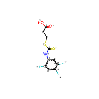 O=C(O)CCSC(=S)Nc1cc(F)c(F)cc1F